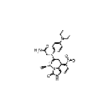 CCN(CC)c1ccc(N(CC(N)=O)C(=O)Cc2c([N+](=O)[O-])ccc3[nH]c(=O)n(CC#N)c23)cc1